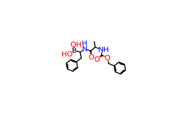 CC(NC(=O)OCc1ccccc1)C(=O)NC(Cc1ccccc1)B(O)O